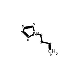 C=CCCn1c[c]cc1